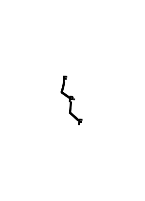 FC[P]CF